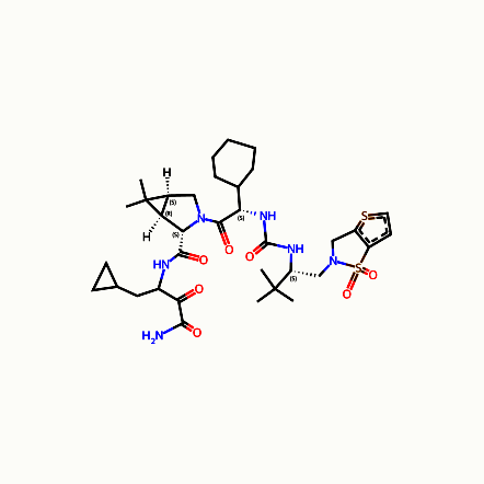 CC(C)(C)[C@@H](CN1Cc2sccc2S1(=O)=O)NC(=O)N[C@H](C(=O)N1C[C@H]2[C@@H]([C@H]1C(=O)NC(CC1CC1)C(=O)C(N)=O)C2(C)C)C1CCCCC1